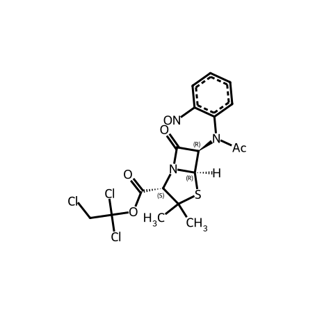 CC(=O)N(c1ccccc1N=O)[C@@H]1C(=O)N2[C@@H]1SC(C)(C)[C@@H]2C(=O)OC(Cl)(Cl)CCl